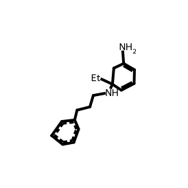 CCC1(NCCCc2ccccc2)C=CC=C(N)C1